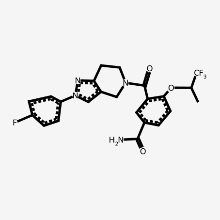 CC(Oc1ccc(C(N)=O)cc1C(=O)N1CCc2nn(-c3ccc(F)cc3)cc2C1)C(F)(F)F